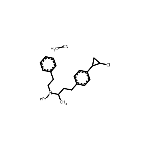 CC#N.CCCN(CCc1ccccc1)C(C)CCc1ccc(C2CC2Cl)cc1